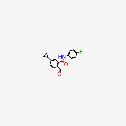 O=Cc1ccc(C2CC2)cc1C(=O)Nc1ccc(F)cc1